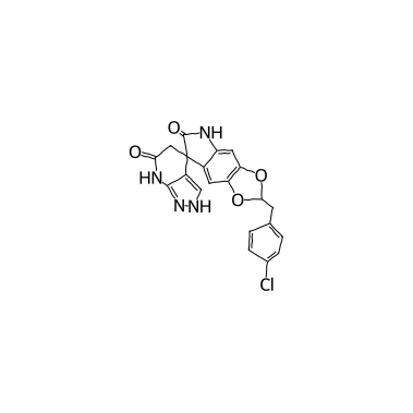 O=C1CC2(C(=O)Nc3cc4c(cc32)OC(Cc2ccc(Cl)cc2)O4)c2c[nH]nc2N1